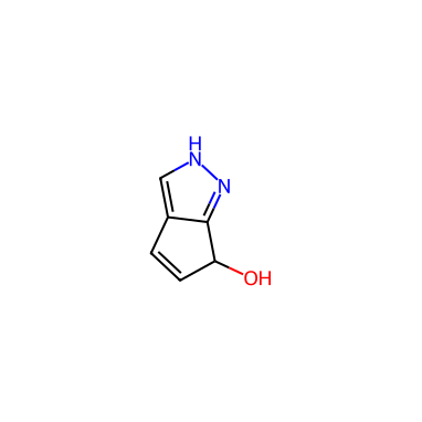 OC1C=Cc2c[nH]nc21